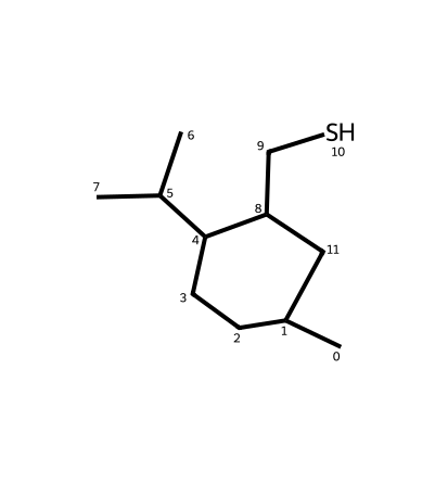 CC1CCC(C(C)C)C(CS)C1